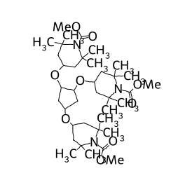 COC(=O)N1C(C)(C)CC(OC2CC(OC3CC(C)(C)N(C(=O)OC)C(C)(C)C3)C(OC3CC(C)(C)N(C(=O)OC)C(C)(C)C3)C2)CC1(C)C